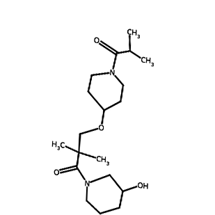 CC(C)C(=O)N1CCC(OCC(C)(C)C(=O)N2CCCC(O)C2)CC1